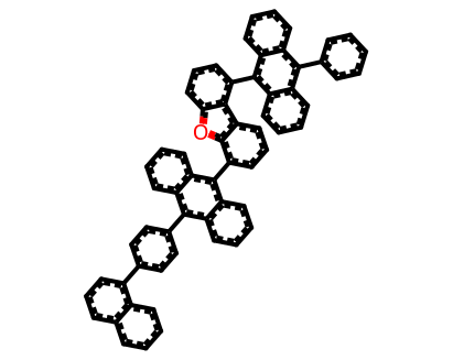 c1ccc(-c2c3ccccc3c(-c3cccc4oc5c(-c6c7ccccc7c(-c7ccc(-c8cccc9ccccc89)cc7)c7ccccc67)cccc5c34)c3ccccc23)cc1